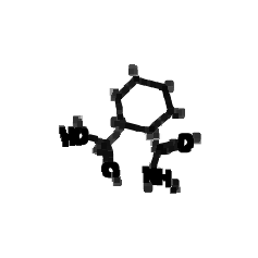 NC=O.O=C(O)C1CCCCC1